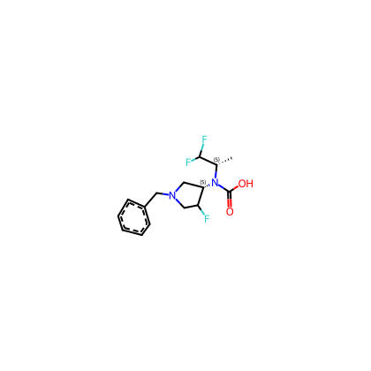 C[C@@H](C(F)F)N(C(=O)O)[C@H]1CN(Cc2ccccc2)CC1F